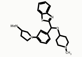 CNC1CCN(c2cccc(C(OC3CCN(C)CC3)c3nc4ccccc4s3)c2)C1